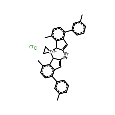 Cc1cccc(-c2ccc(C)c3c2C=C(C(C)C)[CH]3[Zr+2]2([CH]3C(C(C)C)=Cc4c(-c5cccc(C)c5)ccc(C)c43)[CH2][CH2]2)c1.[Cl-].[Cl-]